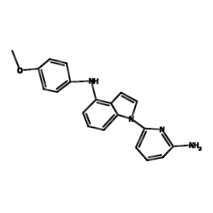 COc1ccc(Nc2cccc3c2ccn3-c2cccc(N)n2)cc1